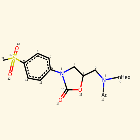 CCCCCCN(CC1CN(c2ccc(S(C)(=O)=O)cc2)C(=O)O1)C(C)=O